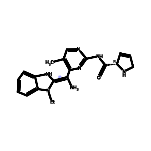 CCN1/C(=C(\N)c2nc(NC(=O)[C@@H]3C=CCN3)ncc2C)Nc2ccccc21